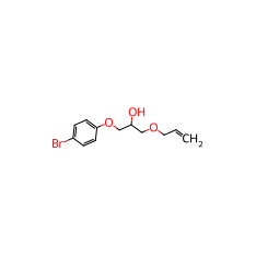 C=CCOCC(O)COc1ccc(Br)cc1